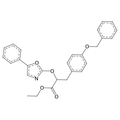 CCOC(=O)C(Cc1ccc(OCc2ccccc2)cc1)Oc1ncc(-c2ccccc2)o1